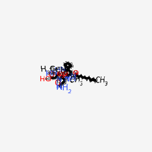 CCCCCCCCCCC(=O)N(C)C(Cc1c[nH]c2ccccc12)C(=O)NC(CC(N)=O)C(=O)NC(CC(=O)O)C(=O)NC(C)C